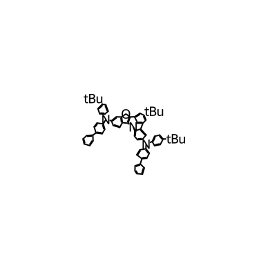 CC(C)(C)c1ccc(N(c2ccc(-c3ccccc3)cc2)c2ccc3c(c2)oc2c4cc(C(C)(C)C)cc5c6cc(N(c7ccc(-c8ccccc8)cc7)c7ccc(C(C)(C)C)cc7)ccc6n(c54)c32)cc1